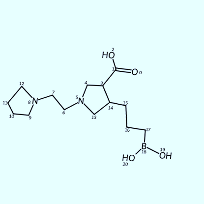 O=C(O)C1CN(CCN2CCCC2)CC1CCCB(O)O